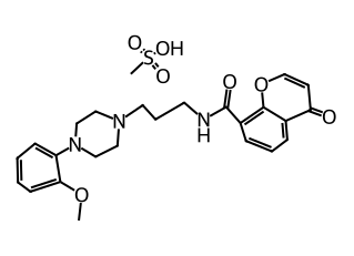 COc1ccccc1N1CCN(CCCNC(=O)c2cccc3c(=O)ccoc23)CC1.CS(=O)(=O)O